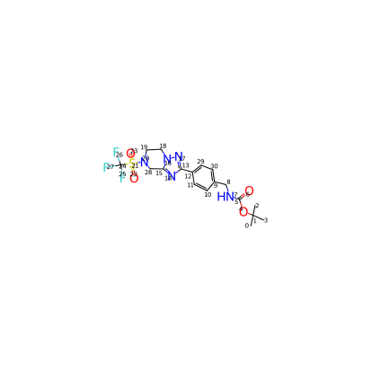 CC(C)(C)OC(=O)NCc1ccc(-c2nc3n(n2)CCN(S(=O)(=O)C(F)(F)F)C3)cc1